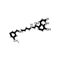 Cc1cccc(CNCCCCNC[C@H](O)c2ccc(O)c3[nH]c(=O)ccc23)c1